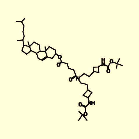 CC(C)CCCC(C)C1CCC2C3CC=C4CC(OC(=O)CCCC(=O)N(CCC5CC(NC(=O)OC(C)(C)C)C5)CCC5CC(NC(=O)OC(C)(C)C)C5)CCC4(C)C3CCC12C